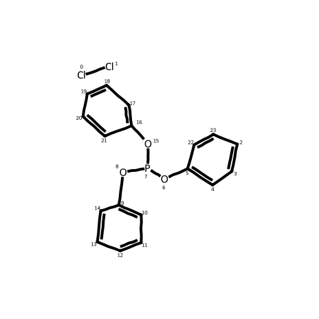 ClCl.c1ccc(OP(Oc2ccccc2)Oc2ccccc2)cc1